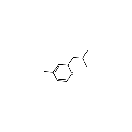 CC1=CC(CC(C)C)OC=C1